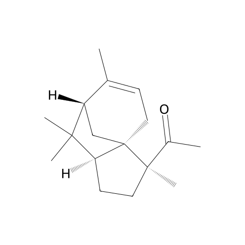 CC(=O)[C@@]1(C)CC[C@H]2C(C)(C)[C@H]3C[C@]21CC=C3C